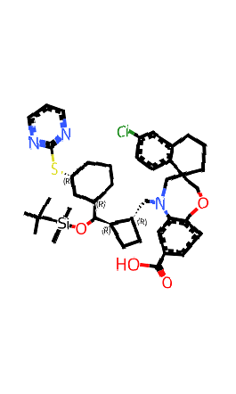 CC(C)(C)[Si](C)(C)OC([C@@H]1CCC[C@@H](Sc2ncccn2)C1)[C@@H]1CC[C@H]1CN1CC2(CCCc3cc(Cl)ccc32)COc2ccc(C(=O)O)cc21